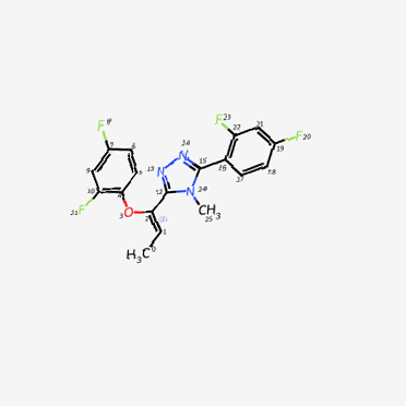 C/C=C(\Oc1ccc(F)cc1F)c1nnc(-c2ccc(F)cc2F)n1C